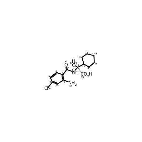 C[C@@](NC(=O)c1ccc(Cl)cc1N)(C(=O)O)C1CCCCC1